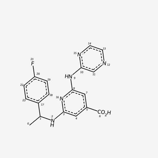 CC(Nc1cc(C(=O)O)cc(Nc2cnccn2)n1)c1ccc(F)cc1